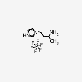 CC(N)CC[n+]1cc[nH]c1.F[P-](F)(F)(F)(F)F